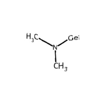 C[N](C)[Ge]